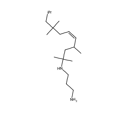 CC(C)CC(C)(C)C/C=C\C(C)CC(C)(C)NCCCN